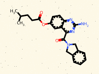 CC(C)CCC(=O)Oc1ccc2nc(N)nc(C(=O)N3Cc4ccccc4C3)c2c1